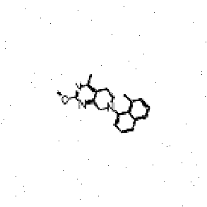 COc1nc(C)c2c(n1)CN(c1cccc3cccc(C)c13)CC2